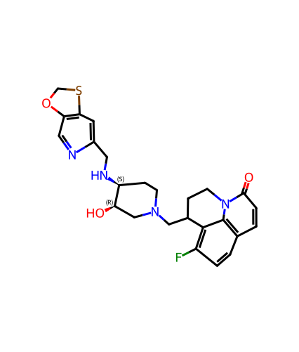 O=c1ccc2ccc(F)c3c2n1CCC3CN1CC[C@H](NCc2cc3c(cn2)OCS3)[C@H](O)C1